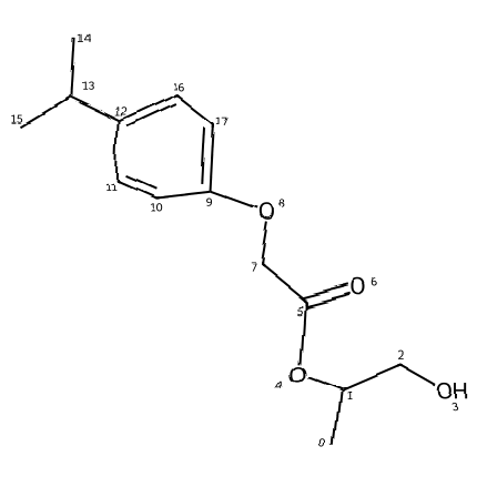 CC(CO)OC(=O)COc1ccc(C(C)C)cc1